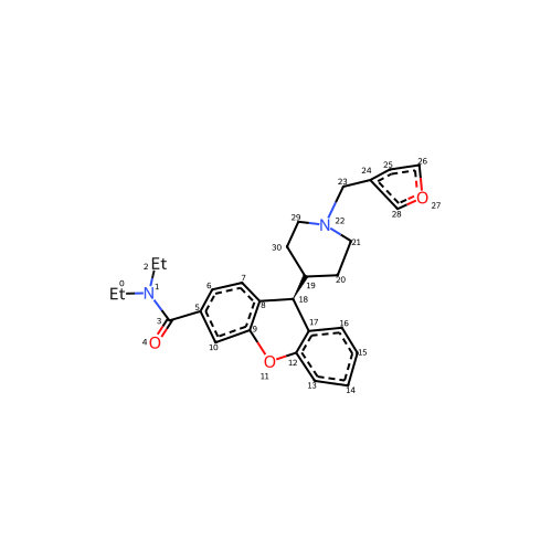 CCN(CC)C(=O)c1ccc2c(c1)Oc1ccccc1[C@@H]2C1CCN(Cc2ccoc2)CC1